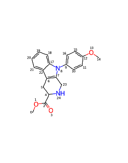 COC(=O)C1Cc2c(n(-c3ccc(OC)cc3)c3ccccc23)CN1